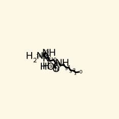 CCCCCCCCNC(CCCNC(=N)N)C(=O)O